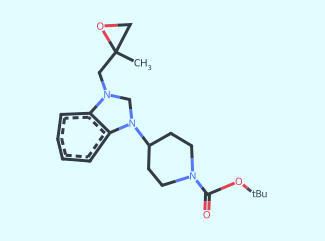 CC(C)(C)OC(=O)N1CCC(N2CN(CC3(C)CO3)c3ccccc32)CC1